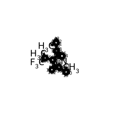 Cc1cc(-c2cc(-n3c4ccccc4c4cc(-c5ccccc5C)ccc43)c(C#N)c(-n3c4ccccc4c4cc(-c5ccccc5C)ccc43)c2)cc(C(F)(F)F)c1